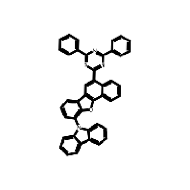 c1ccc(-c2nc(-c3ccccc3)nc(-c3cc4c5cccc(-n6c7ccccc7c7ccccc76)c5oc4c4ccccc34)n2)cc1